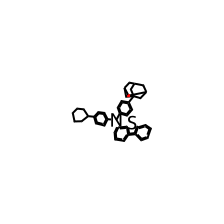 c1ccc2c(c1)sc1c(N(c3ccc(C4CCCCC4)cc3)c3ccc(C45CC6CC(CC(C6)C4)C5)cc3)cccc12